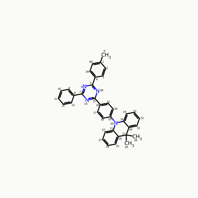 Cc1ccc(-c2nc(-c3ccccc3)nc(-c3ccc(N4c5ccccc5C(C)(C)c5ccccc54)cc3)n2)cc1